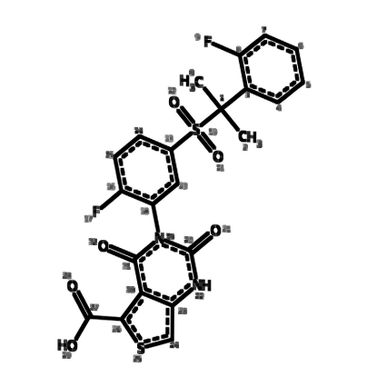 CC(C)(c1ccccc1F)S(=O)(=O)c1ccc(F)c(-n2c(=O)[nH]c3csc(C(=O)O)c3c2=O)c1